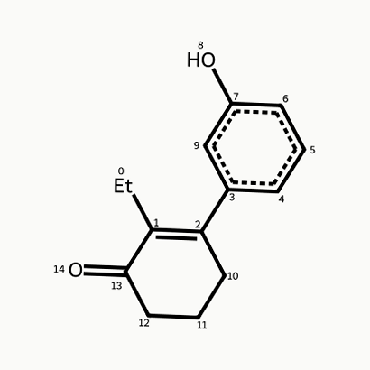 CCC1=C(c2cccc(O)c2)CCCC1=O